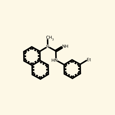 CCc1cccc(NC(=N)N(C)c2cccc3ccccc23)c1